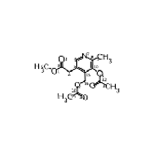 COC(=O)Cc1cnc(C)c(OC(C)=O)c1COC(C)=O